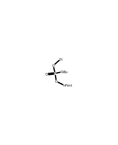 CCCCCOP(=O)(OCC)OCC(C)C